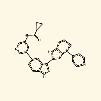 O=C(Nc1cncc(-c2ccc3[nH]nc(-c4cc5c(-c6ccncc6)ccnc5[nH]4)c3c2)c1)C1CC1